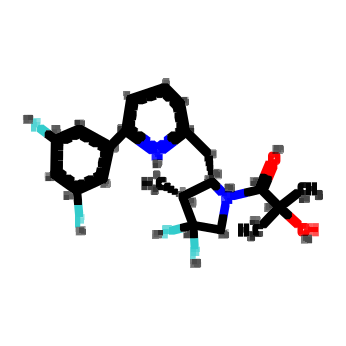 C[C@@H]1[C@H](Cc2cccc(-c3cc(F)cc(F)c3)n2)N(C(=O)C(C)(C)O)CC1(F)F